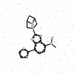 C[S+]([O-])c1ccc(-c2nccs2)c2oc(N3CC4CC(C3)N4)nc12